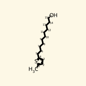 Cc1ccc([CH]CCCCCCCCCCO)s1